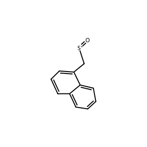 O=[S+]Cc1cccc2ccccc12